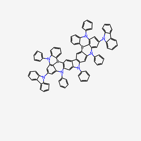 c1ccc(N2c3ccccc3B3c4cc5c6cc7c(cc6n(-c6ccccc6)c5cc4N(c4ccccc4)c4cc(-n5c6ccccc6c6ccccc65)cc2c43)N(c2ccccc2)c2cc(-n3c4ccccc4c4ccccc43)cc3c2B7c2ccccc2N3c2ccccc2)cc1